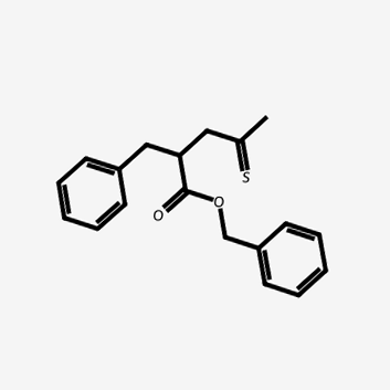 CC(=S)CC(Cc1ccccc1)C(=O)OCc1ccccc1